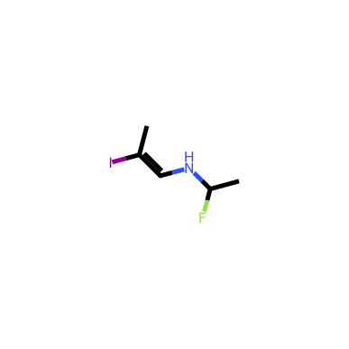 C/C(I)=C\NC(C)F